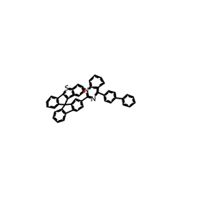 c1ccc(-c2ccc(-c3nc(-c4ccc5c(c4)C4(c6ccccc6-5)c5ccccc5-c5sc6ccccc6c54)nc4ccccc34)cc2)cc1